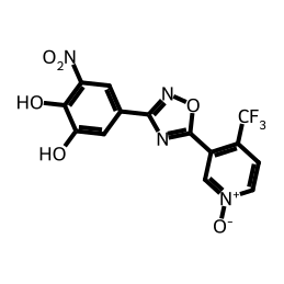 O=[N+]([O-])c1cc(-c2noc(-c3c[n+]([O-])ccc3C(F)(F)F)n2)cc(O)c1O